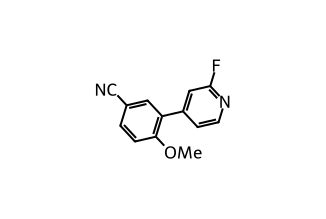 COc1ccc(C#N)cc1-c1ccnc(F)c1